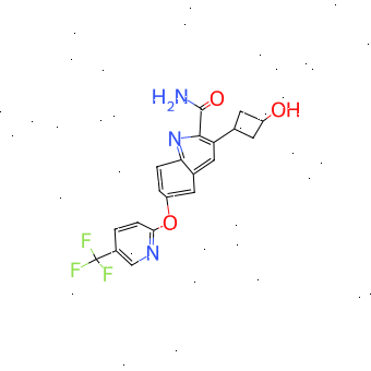 NC(=O)c1nc2ccc(Oc3ccc(C(F)(F)F)cn3)cc2cc1C1CC(O)C1